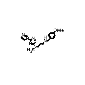 COc1ccc(CNCCCN(C)c2nc(-n3ccnc3)ns2)cc1